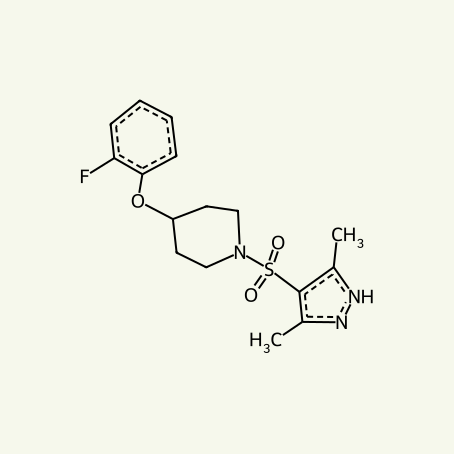 Cc1n[nH]c(C)c1S(=O)(=O)N1CCC(Oc2ccccc2F)CC1